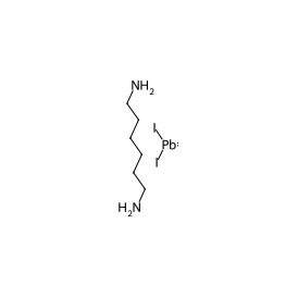 NCCCCCCN.[I][Pb][I]